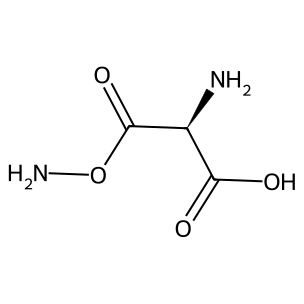 NOC(=O)[C@@H](N)C(=O)O